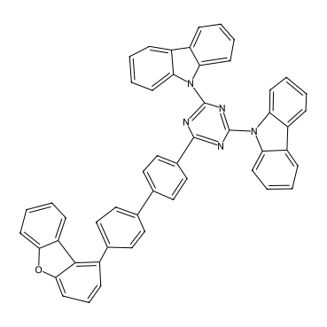 c1ccc2c(c1)oc1cccc(-c3ccc(-c4ccc(-c5nc(-n6c7ccccc7c7ccccc76)nc(-n6c7ccccc7c7ccccc76)n5)cc4)cc3)c12